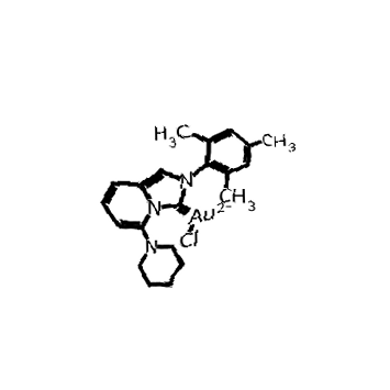 Cc1cc(C)c(-n2cc3cccc(N4CCCCC4)n3[c]2=[Au-2][Cl])c(C)c1